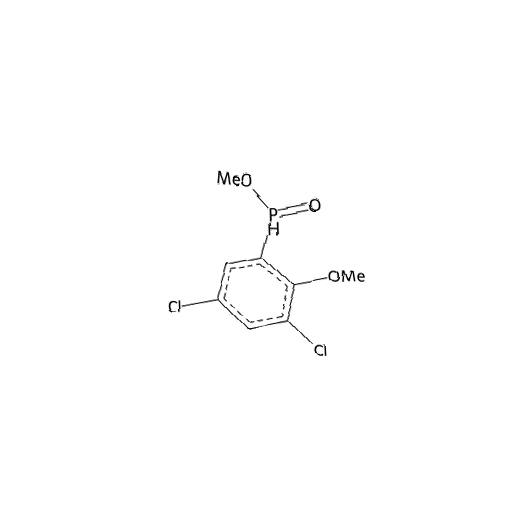 COc1c(Cl)cc(Cl)cc1[PH](=O)OC